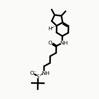 CC1C[C@@H]2CC(NC(=O)CCCCN[S+]([O-])C(C)(C)C)CC=C2C1C